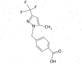 Cc1cc(C(F)(F)F)nn1Cc1ccc(C(=O)O)cc1